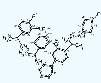 CC(N)c1ccc(-c2ccccc2)cc1.CC(N)c1ccc(Cl)c(C(F)(F)F)c1.CC(N)c1ccc(F)c(C(F)(F)F)c1.CCNc1ccc(F)cc1